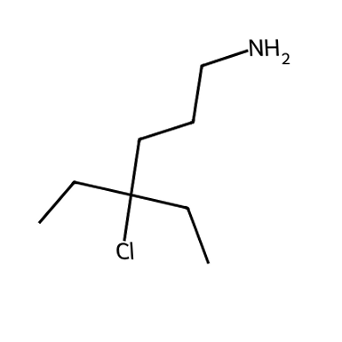 CCC(Cl)(CC)CCCN